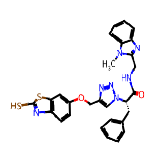 Cn1c(CNC(=O)[C@H](Cc2ccccc2)n2cc(COc3ccc4nc(S)sc4c3)nn2)nc2ccccc21